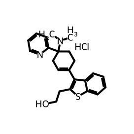 CN(C)C1(c2ccccn2)CC=C(c2c(CCO)sc3ccccc23)CC1.Cl